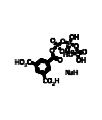 COP(=O)(OC(=O)c1cc(C(=O)O)cc(C(=O)O)c1)OP(=O)(O)OP(=O)(O)O.[NaH]